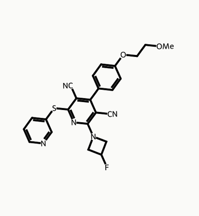 COCCOc1ccc(-c2c(C#N)c(Sc3cccnc3)nc(N3CC(F)C3)c2C#N)cc1